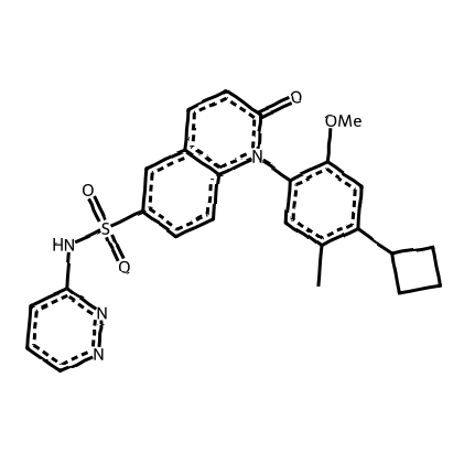 COc1cc(C2CCC2)c(C)cc1-n1c(=O)ccc2cc(S(=O)(=O)Nc3cccnn3)ccc21